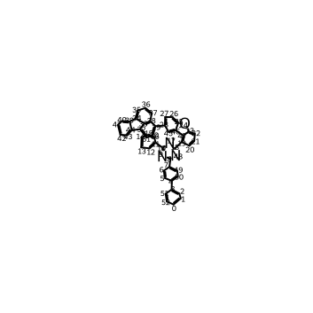 c1ccc(-c2ccc(-c3nc(-c4ccccc4)nc(-c4cccc5oc6ccc(-c7ccc8c9c(cccc79)-c7ccccc7-8)cc6c45)n3)cc2)cc1